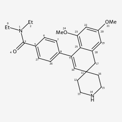 CCN(CC)C(=O)c1ccc(C2=CC3(CCNCC3)Cc3cc(OC)cc(OC)c32)cc1